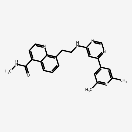 CNC(=O)c1ccnc2c(CCNc3cc(-c4cc(C)nc(C)c4)ncn3)cccc12